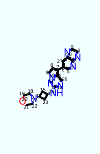 c1cnc2ncc(-c3ccn4nc(N[C@H]5C[C@H](N6CCOCC6)C5)ncc34)cc2n1